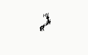 CNC12CC(c3nnc(COc4ccc(C)nc4)o3)(C1)C2